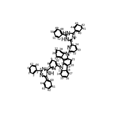 c1ccc(C2=NC(c3cccc(-n4c5ccccc5c5ccc6c(c7ccccc7n6-c6cccc(C7=NC(c8ccccc8)NC(c8ccccc8)N7)n6)c54)n3)NC(c3ccccc3)=N2)cc1